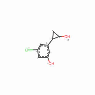 Oc1cc(Cl)cc(C2CC2O)c1